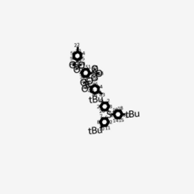 CC(C)(C)c1ccc([S+](c2ccc(C(C)(C)C)cc2)c2ccc(C(C)(C)C)cc2)cc1.Cc1ccc(S(=O)(=O)Oc2ccc(OS(=O)(=O)c3ccc(C)cc3)c(S(=O)(=O)[O-])c2)cc1